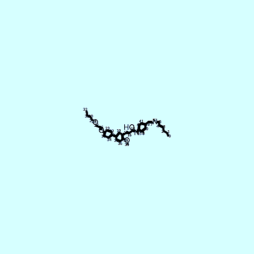 CCC/C=C/C=N\C=C\c1ccc(NC(O)/C=C/c2cc(-c3ccc(OCCOCCCC)cc3)ccc2OC)cc1